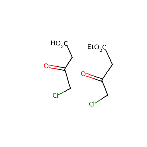 CCOC(=O)CC(=O)CCl.O=C(O)CC(=O)CCl